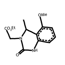 CCOC(=O)CN1C(=O)Nc2cccc(OC)c2C1C